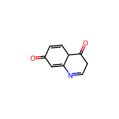 O=C1C=CC2C(=O)CC=NC2=C1